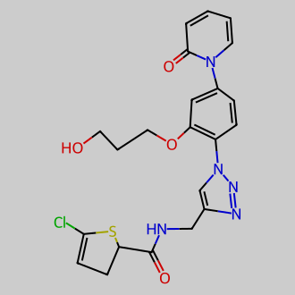 O=C(NCc1cn(-c2ccc(-n3ccccc3=O)cc2OCCCO)nn1)C1CC=C(Cl)S1